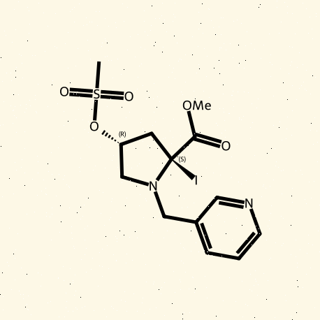 COC(=O)[C@@]1(I)C[C@@H](OS(C)(=O)=O)CN1Cc1cccnc1